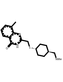 CNC[C@H]1CC[C@H](SCc2nc3c(C)cccc3c(=O)[nH]2)CC1